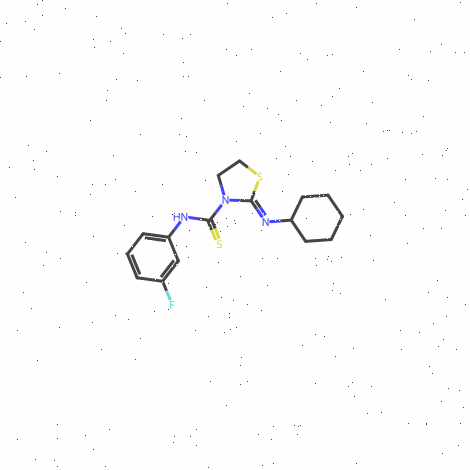 Fc1cccc(NC(=S)N2CCSC2=NC2CCCCC2)c1